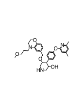 COCCCN1CCOc2ccc(COC3CNCC(O)C3c3ccc(Oc4cc(C)cc(C)n4)cc3)cc21